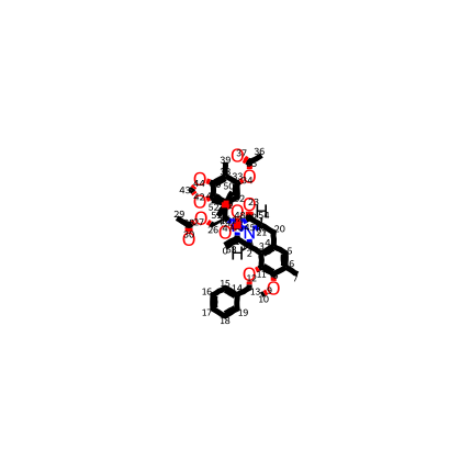 C=C1[C@@H]2c3c(cc(C)c(OC)c3OCc3ccccc3)C[C@H](C(=O)N1[C@@H](COC(C)=O)c1cc(OC(C)=O)c(C)c3c1OCO3)N2C(=O)OC(C)(C)C